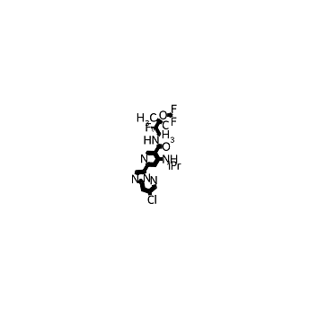 CC(C)Nc1cc(-c2cnc3cc(Cl)cnn23)ncc1C(=O)NC[C@@H](F)C(C)(C)OC(F)F